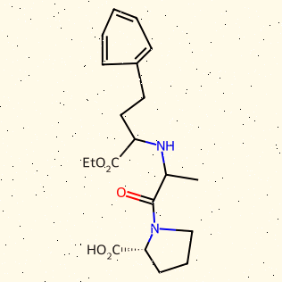 CCOC(=O)C(CCc1ccccc1)NC(C)C(=O)N1CCC[C@@H]1C(=O)O